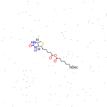 CCCCCCCCCCCCCCCC(=O)OC(=O)CCCC[C@@H]1SC[C@@H]2NC(=O)N[C@@H]21